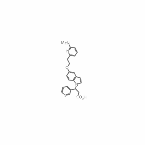 CNc1cccc(CCOc2ccc3c(ccn3C(CC(=O)O)c3cccnc3)c2)n1